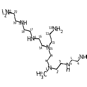 CN(CCNCCN)CCN(CCN)CCNCCNCCN